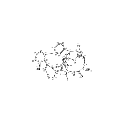 CC(C)[C@@H]1NC(=O)[C@@H](N)Cc2cc(Br)c3c(c2)C24c5cccc(c5NC2O3)-c2cccc3[nH]c(Cl)c(c23)-c2oc(nc2Cl)-c2nc1oc24